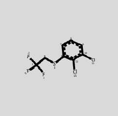 FC(F)(F)CSc1c[c]cc(Cl)c1Cl